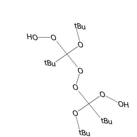 CC(C)(C)OC(OO)(OOC(OO)(OC(C)(C)C)C(C)(C)C)C(C)(C)C